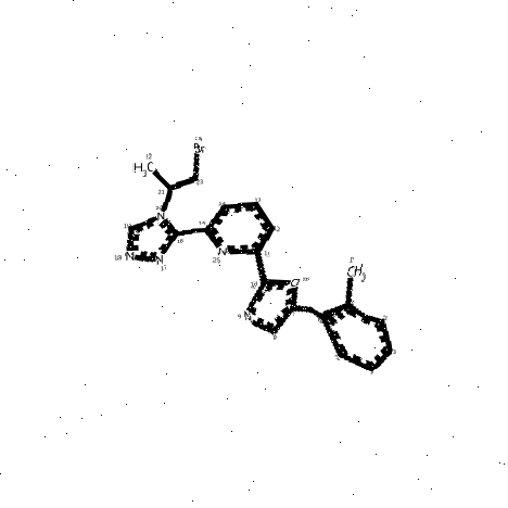 Cc1ccccc1-c1cnc(-c2cccc(-c3nncn3C(C)CBr)n2)o1